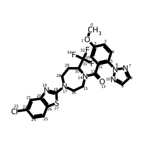 COc1ccc(-n2nccn2)c(C(=O)N2CCN(c3nc4cc(Cl)ccc4s3)CCC2C(F)(F)F)c1